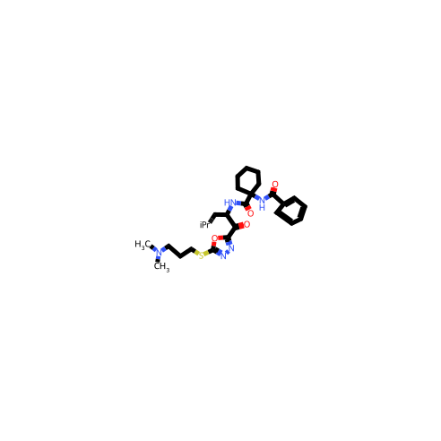 CC(C)CC(NC(=O)C1(NC(=O)c2ccccc2)CCCCC1)C(=O)c1nnc(SCCCN(C)C)o1